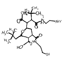 CC(C)(C)CC1OC(C(C(=O)O)C(C(=O)NCCS)C(C)(C)C)CC(C(=O)NCCS)C1C(=O)O